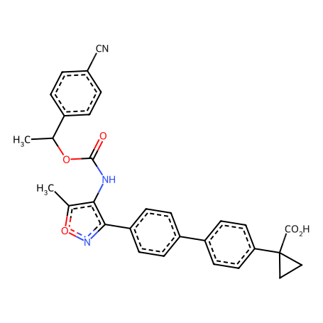 Cc1onc(-c2ccc(-c3ccc(C4(C(=O)O)CC4)cc3)cc2)c1NC(=O)OC(C)c1ccc(C#N)cc1